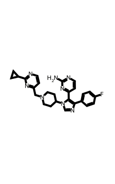 Nc1nccc(-c2c(-c3ccc(F)cc3)ncn2C2CCN(Cc3ccnc(C4CC4)n3)CC2)n1